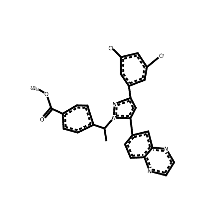 CC(c1ccc(C(=O)OC(C)(C)C)cc1)n1nc(-c2cc(Cl)cc(Cl)c2)cc1-c1ccc2nccnc2c1